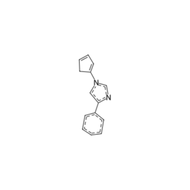 C1=CCC(n2cnc(-c3ccccc3)c2)=C1